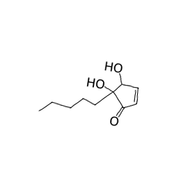 CCCCCC1(O)C(=O)C=CC1O